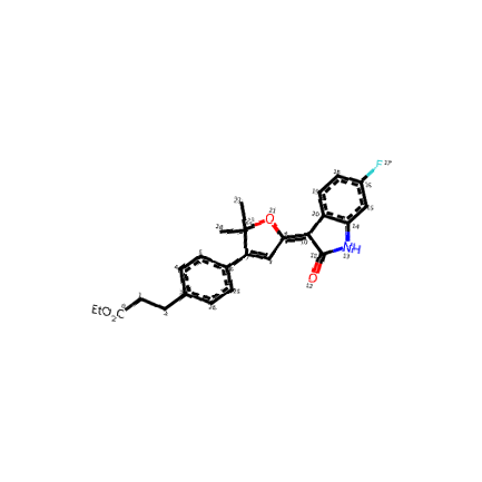 CCOC(=O)CCc1ccc(C2=C/C(=C3\C(=O)Nc4cc(F)ccc43)OC2(C)C)cc1